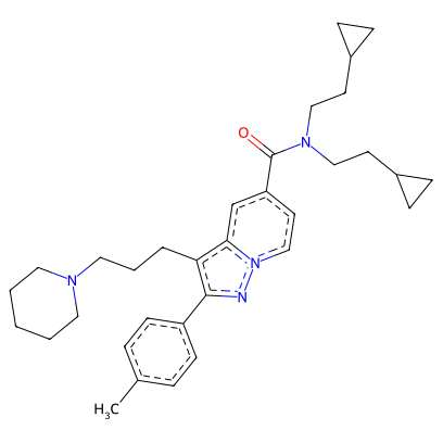 Cc1ccc(-c2nn3ccc(C(=O)N(CCC4CC4)CCC4CC4)cc3c2CCCN2CCCCC2)cc1